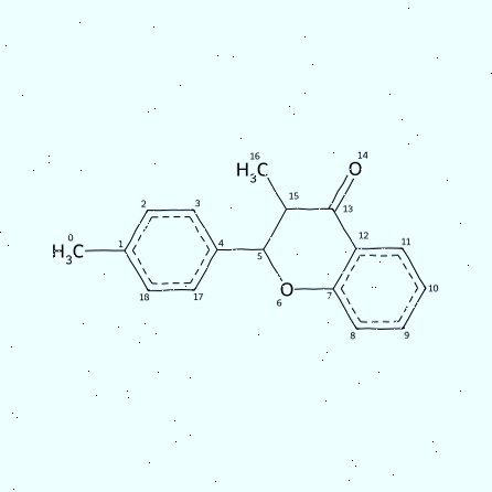 Cc1ccc(C2Oc3ccccc3C(=O)C2C)cc1